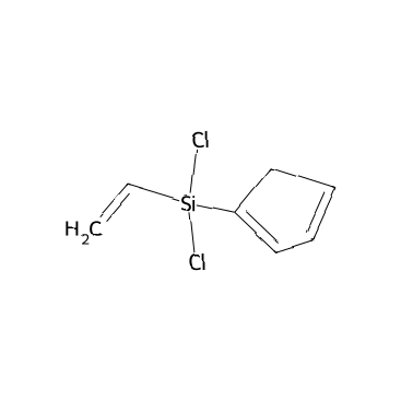 C=C[Si](Cl)(Cl)C1=CC=CC1